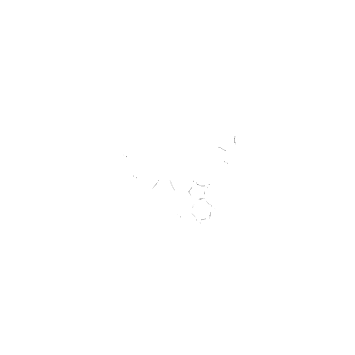 C=CC(=O)N1CCC[C@@H](n2nc(C3=CC=C(CN4CCN(C)CC4)CC3)c3c(N)ncnc32)C1